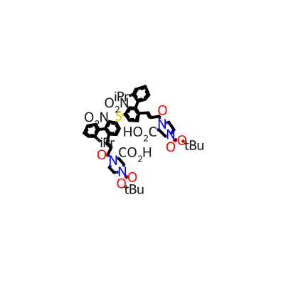 CC(C)c1ccccc1-c1c(/C=C/C(=O)N2CCN(C(=O)OC(C)(C)C)CC2C(=O)O)ccc(Sc2ccc(/C=C/C(=O)N3CCN(C(=O)OC(C)(C)C)CC3C(=O)O)c(-c3ccccc3C(C)C)c2[N+](=O)[O-])c1[N+](=O)[O-]